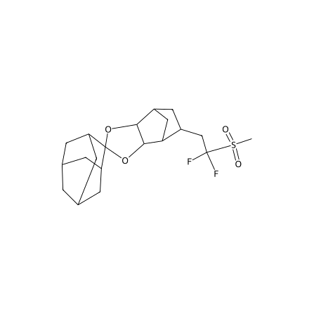 CS(=O)(=O)C(F)(F)CC1CC2CC1C1OC3(OC21)C1CC2CC(C1)CC3C2